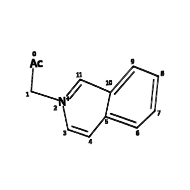 CC(=O)C[n+]1ccc2ccccc2c1